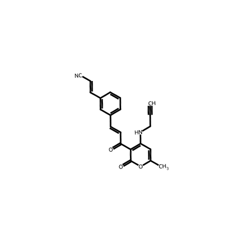 C#CCNc1cc(C)oc(=O)c1C(=O)/C=C/c1cccc(/C=C/C#N)c1